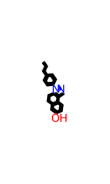 CCCc1ccc(-n2ncc3c2CCc2cc(O)ccc2-3)cc1